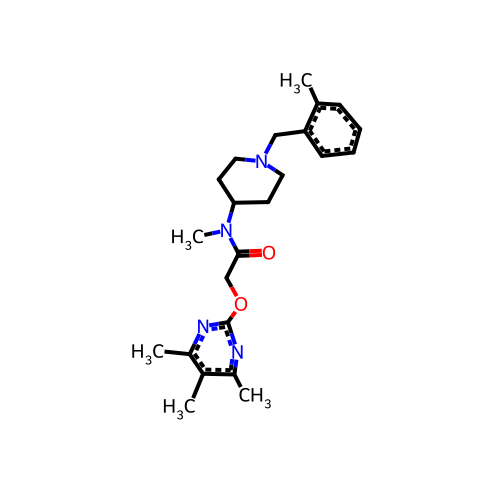 Cc1ccccc1CN1CCC(N(C)C(=O)COc2nc(C)c(C)c(C)n2)CC1